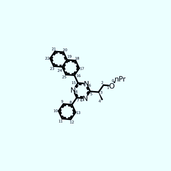 CCCOC[C@@H](C)c1nc(-c2ccccc2)nc(-c2ccc3ccccc3c2)n1